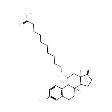 C[C@]12C[C@H](OCCCCCCCCCC(=O)O)[C@@H]3c4ccc(O)cc4CC[C@H]3[C@@H]1CCC2=O